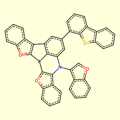 c1ccc2c(N3c4cc(-c5cccc6c5sc5ccccc56)cc5c4B(c4oc6ccccc6c4-5)c4oc5ccccc5c43)coc2c1